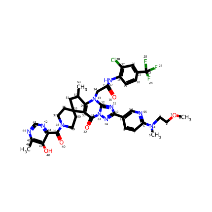 COCCN(C)c1ccc(-c2nc3n(CC(=O)Nc4ccc(C(F)(F)F)cc4Cl)c4c(c(=O)n3n2)C2(CCN(C(=O)c3ncnc(C)c3O)CC2)CC4C)cn1